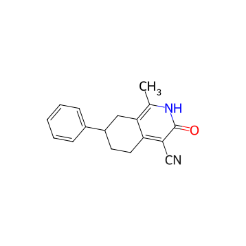 Cc1[nH]c(=O)c(C#N)c2c1CC(c1ccccc1)CC2